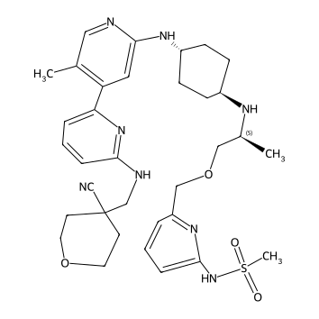 Cc1cnc(N[C@H]2CC[C@H](N[C@@H](C)COCc3cccc(NS(C)(=O)=O)n3)CC2)cc1-c1cccc(NCC2(C#N)CCOCC2)n1